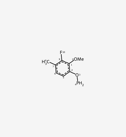 COc1c(OP)ccc(C)c1F